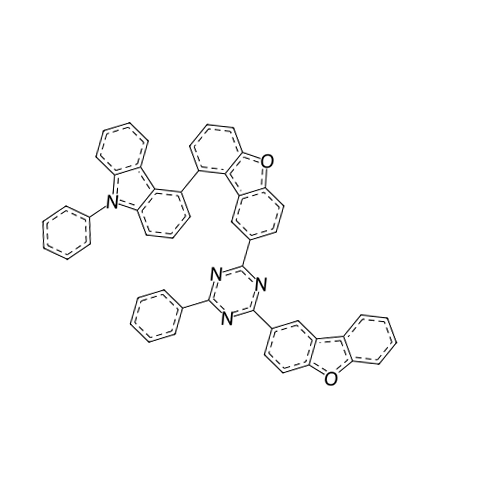 c1ccc(-c2nc(-c3ccc4oc5ccccc5c4c3)nc(-c3ccc4oc5cccc(-c6cccc7c6c6ccccc6n7-c6ccccc6)c5c4c3)n2)cc1